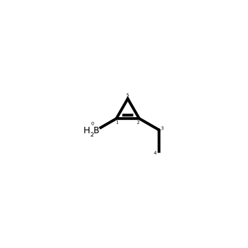 BC1=C(CC)C1